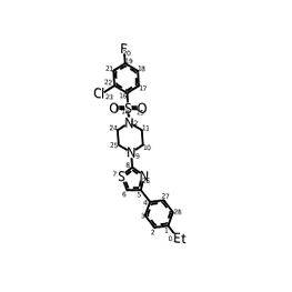 CCc1ccc(-c2csc(N3CCN(S(=O)(=O)c4ccc(F)cc4Cl)CC3)n2)cc1